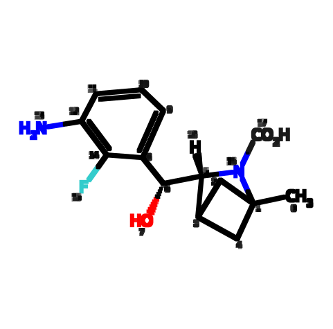 CC12CC(C1)[C@H]([C@H](O)c1cccc(N)c1F)N2C(=O)O